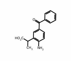 CC(C(=O)O)c1cc(C(=O)c2ccccc2)ccc1N